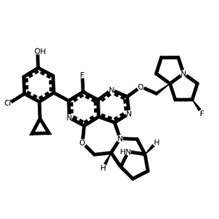 Oc1cc(Cl)c(C2CC2)c(-c2nc3c4c(nc(OC[C@@]56CCCN5C[C@@H](F)C6)nc4c2F)N2C[C@@H]4CCC(N4)[C@@H]2CO3)c1